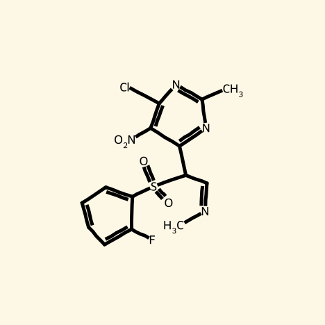 C/N=C\C(c1nc(C)nc(Cl)c1[N+](=O)[O-])S(=O)(=O)c1ccccc1F